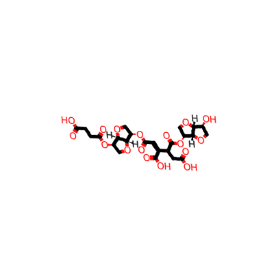 O=C(O)CCC(=O)O[C@@H]1CO[C@H]2[C@@H]1OC[C@@H]2OC(=O)/C=C(\C(=O)O)C(CC(=O)O)C(=O)O[C@@H]1CO[C@H]2[C@@H]1OC[C@@H]2O